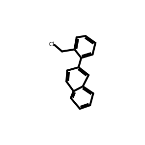 ClCc1ccccc1-c1ccc2ccccc2c1